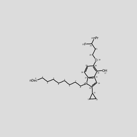 CCCCCCCCCCCCCCCCCCn1c(C2CC2)cc2c(O)c(OCCC(F)CCC)ccc21